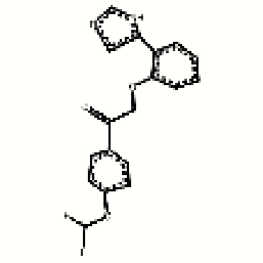 O=C(COc1ccccc1-c1cnc[nH]1)c1ccc(OC(F)F)cc1